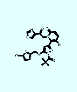 CC(C)(C)C(=O)n1nc(-c2c(Br)ccc(=O)n2CC(=O)c2cocn2)cc1SCc1ccc(Cl)s1